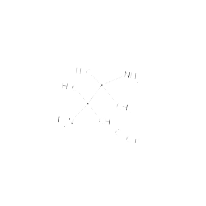 CC(C)(N)C(C)(C)N.[Cl-].[Cu+]